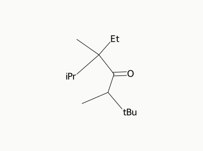 CCC(C)(C(=O)C(C)C(C)(C)C)C(C)C